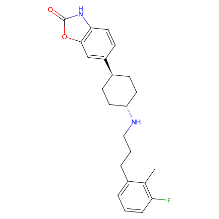 Cc1c(F)cccc1CCCN[C@H]1CC[C@H](c2ccc3[nH]c(=O)oc3c2)CC1